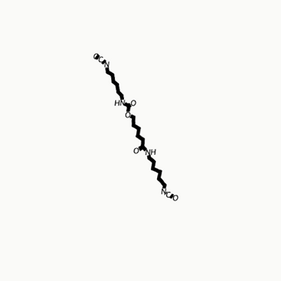 O=C=NCCCCCCNC(=O)CCCCCOC(=O)NCCCCCCN=C=O